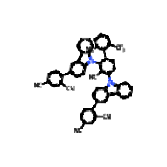 N#Cc1ccc(-c2ccc3c(c2)c2ccccc2n3-c2ccc(-c3c(C#N)cccc3C(F)(F)F)c(-n3c4ccccc4c4cc(-c5ccc(C#N)cc5C#N)ccc43)c2C#N)c(C#N)c1